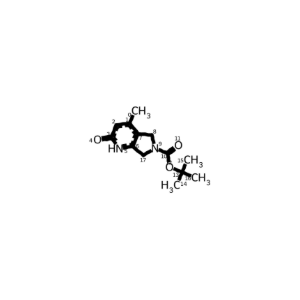 Cc1cc(=O)[nH]c2c1CN(C(=O)OC(C)(C)C)C2